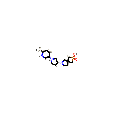 O=S1(=O)CC2(CCN([C@H]3CCN(c4ccc(C(F)(F)F)nc4)C3)C2)C1